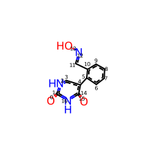 O=c1[nH]cc(-c2ccccc2C=NO)c(=O)[nH]1